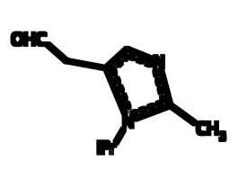 Cc1ncc(CC=O)n1C(C)C